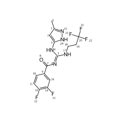 Cc1cc(N/C(=N\C(=O)c2ccc(F)c(F)c2)NCCC(F)(F)F)[nH]n1